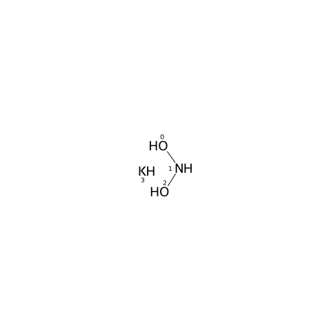 ONO.[KH]